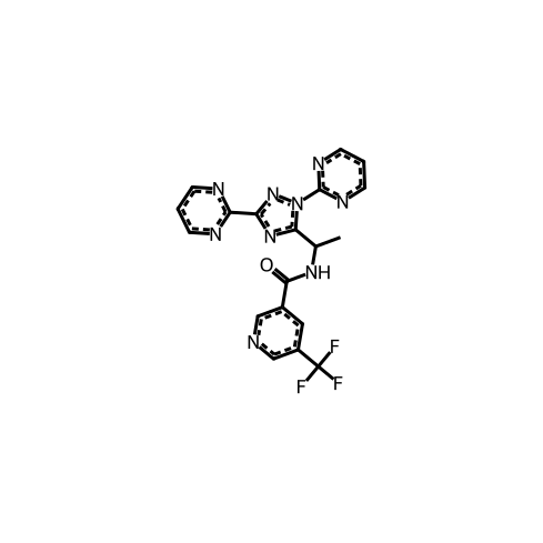 CC(NC(=O)c1cncc(C(F)(F)F)c1)c1nc(-c2ncccn2)nn1-c1ncccn1